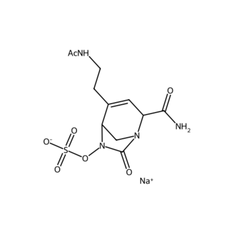 CC(=O)NCCC1=CC(C(N)=O)N2CC1N(OS(=O)(=O)[O-])C2=O.[Na+]